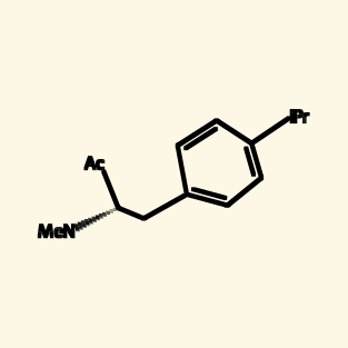 CN[C@@H](Cc1ccc(C(C)C)cc1)C(C)=O